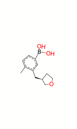 Cc1ccc(B(O)O)cc1C[C@H]1CCOC1